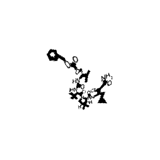 CC(C)[C@@H](COC(=O)OCc1ccccc1)NC(=O)N[C@H](C(=O)N1C[C@H]2[C@@H]([C@H]1C(=O)NC(CC1CC1)C(=O)C(N)=O)C2(C)C)C(C)(C)C